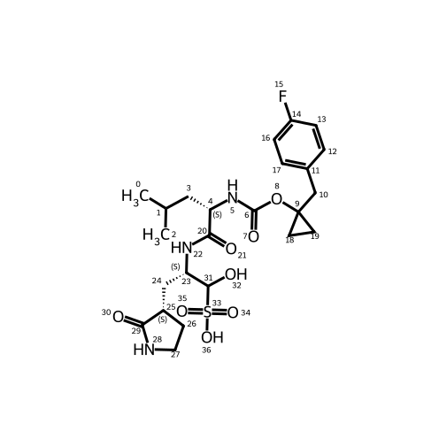 CC(C)C[C@H](NC(=O)OC1(Cc2ccc(F)cc2)CC1)C(=O)N[C@@H](C[C@@H]1CCNC1=O)C(O)S(=O)(=O)O